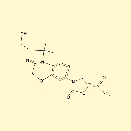 CC(C)(C)N1C(=NCCO)COc2cc(N3C[C@H](C(N)=O)OC3=O)ccc21